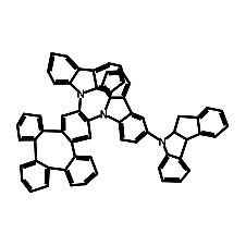 c1ccc2c(c1)CC1C2c2ccccc2N1c1ccc2c(c1)c1ccccc1n2-c1cc2c(cc1-n1c3ccccc3c3ccccc31)-c1ccccc1-c1ccccc1-c1ccccc1-2